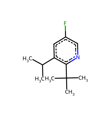 CC(C)c1cc(F)cnc1C(C)(C)C